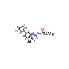 COC(=O)CCN1CC[C@@H]2CC1c1cc(-c3cccc(C)c3)ccc12